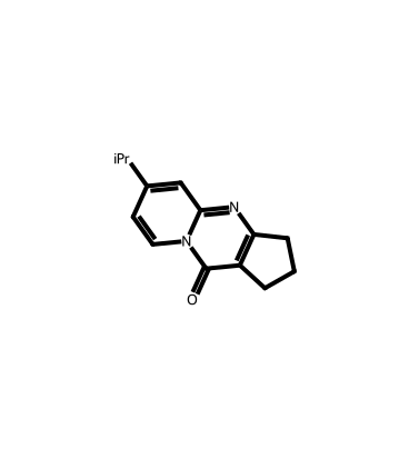 CC(C)c1ccn2c(=O)c3c(nc2c1)CCC3